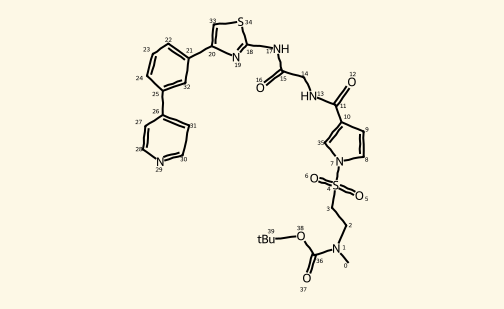 CN(CCS(=O)(=O)n1ccc(C(=O)NCC(=O)Nc2nc(-c3cccc(-c4ccncc4)c3)cs2)c1)C(=O)OC(C)(C)C